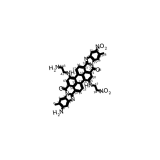 Cc1cc2c(cc1N)nc1c3ccc4c5c(NCC[N+](=O)[O-])cc6c(=O)n7c8cc(C)c([N+](=O)[O-])cc8nc7c7ccc(c8c(NCCN)cc(c(=O)n21)c3c48)c5c67